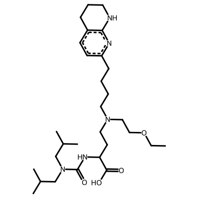 CCOCCN(CCCCc1ccc2c(n1)NCCC2)CCC(NC(=O)N(CC(C)C)CC(C)C)C(=O)O